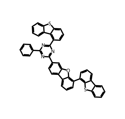 c1ccc(-c2nc(-c3ccc4c(c3)oc3c(-c5cccc6c5sc5ccccc56)cccc34)nc(-c3cccc4sc5ccccc5c34)n2)cc1